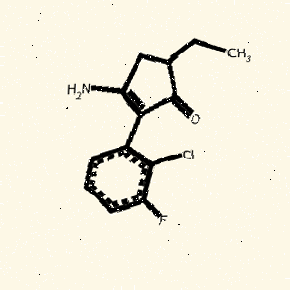 CCC1CC(N)=C(c2cccc(F)c2Cl)C1=O